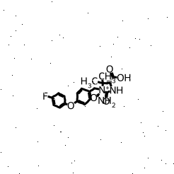 CC1(C)[C@H](C(=O)O)NC(=O)[N+]1(Cc1ccc(Oc2ccc(F)cc2)cc1)C(N)=O